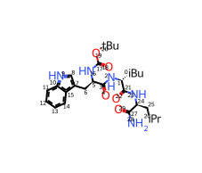 CC[C@@H](C)[C@H](NC(=O)[C@@H](Cc1c[nH]c2ccccc12)NC(=O)OC(C)(C)C)C(=O)N[C@@H](CC(C)C)C(N)=O